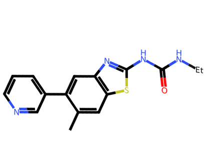 CCNC(=O)Nc1nc2cc(-c3cccnc3)c(C)cc2s1